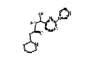 CCCC(NC(=O)CC1CCCCN1)c1ccnc(-n2ccnc2)n1